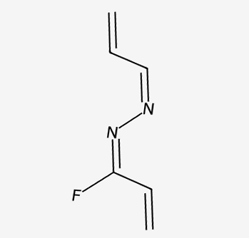 C=C/C=N\N=C(\F)C=C